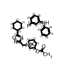 CC(=O)OC1C[N+]2(Cc3noc(C4CCCCC4)n3)CCC1CC2.Fc1cccc(Nc2ccccc2)c1